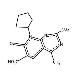 CSc1nc(C)c2cc(C(=O)O)c(=O)n(C3CCCC3)c2n1